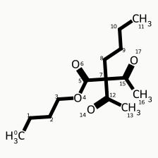 CCCCOC(=O)C(CCCC)(C(C)=O)C(C)=O